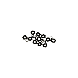 c1ccc(N(c2ccc3oc4ccccc4c3c2)c2cc3c(s2)C2(c4ccccc4-c4ccccc42)c2cc(N(c4ccccc4)c4ccc5oc6ccccc6c5c4)sc2C32c3ccccc3-c3ccccc32)cc1